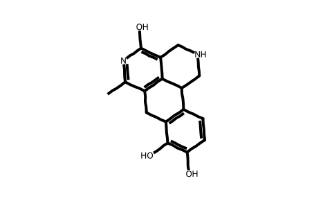 Cc1nc(O)c2c3c1Cc1c(ccc(O)c1O)C3CNC2